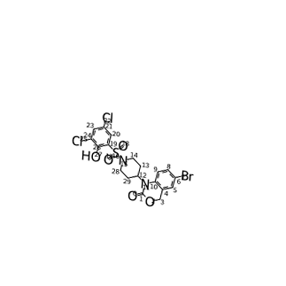 O=C1OCc2cc(Br)ccc2N1C1CCN(S(=O)(=O)c2cc(Cl)cc(Cl)c2O)CC1